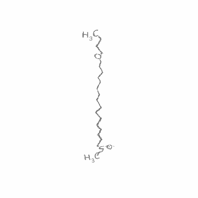 CCCCOCCCCCCCCCCCCCCCC[S+](C)[O-]